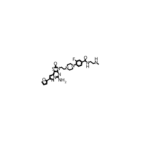 CNCCNC(=O)c1ccc(N2CCN(CCn3c(=O)sc4c3nc(N)n3nc(-c5ccco5)cc43)CC2)c(F)c1